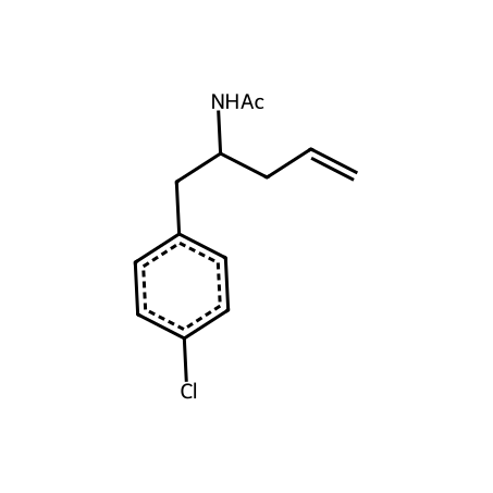 C=CCC(Cc1ccc(Cl)cc1)NC(C)=O